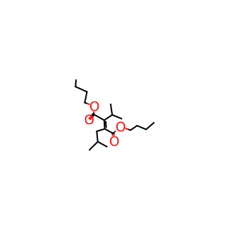 CCCCOC(=O)C(CC(C)C)=C(C(=O)OCCCC)C(C)C